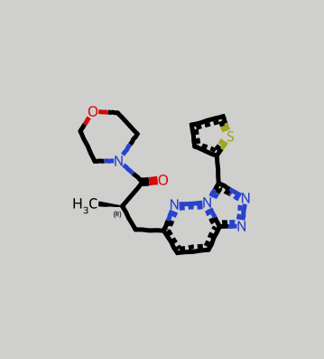 C[C@H](Cc1ccc2nnc(-c3cccs3)n2n1)C(=O)N1CCOCC1